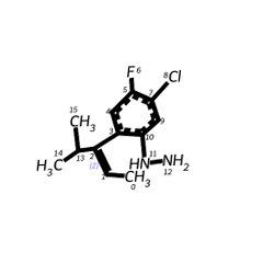 C/C=C(\c1cc(F)c(Cl)cc1NN)C(C)C